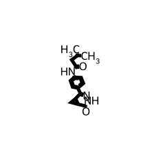 CC(C)CC(=O)Nc1ccc(C2=NNC(=O)C3CC23)cc1